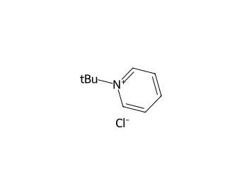 CC(C)(C)[n+]1ccccc1.[Cl-]